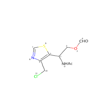 CC(=O)NC(COC=O)c1scnc1CCl